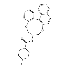 CC1CCC(C(=O)OC2COc3ccc4ccccc4c3-c3c(ccc4ccccc34)OC2)CC1